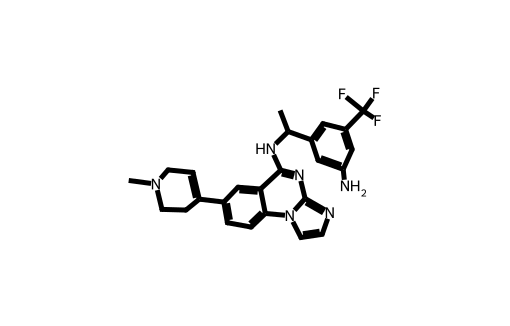 CC(Nc1nc2nccn2c2ccc(C3=CCN(C)CC3)cc12)c1cc(N)cc(C(F)(F)F)c1